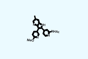 COc1ccc(-c2c(-c3ccnc(NC(C)=O)c3)[nH]c3cc(C)cnc23)cn1